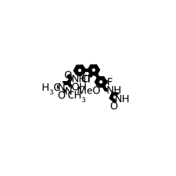 COc1cc(-c2cccc(-c3cccc(NC(=O)C4=CN(C)C(=O)N(C)C4O)c3Cl)c2Cl)cc(F)c1CN[C@@H]1CNC(=O)C1